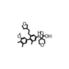 COc1cc(-c2c(C)cc(NC3(C(=O)O)CCOCC3)cc2CCC2CCOC2)cc(C)c1C